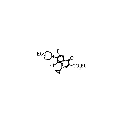 CCOC(=O)c1cn(C2CC2)c2c(Cl)c(N3CCN(CC)CC3)c(F)cc2c1=O